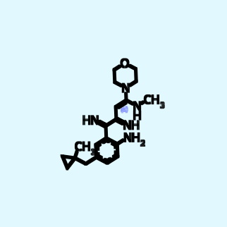 CN/C(=C\C(=N)C(=N)c1cc(CC2(C)CC2)ccc1N)N1CCOCC1